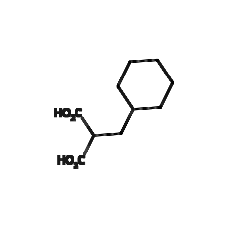 O=C(O)C(CC1CCCCC1)C(=O)O